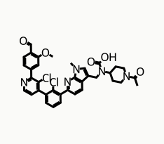 COc1cc(-c2nccc(-c3cccc(-c4ccc5c(CN(C(=O)O)C6CCN(C(C)=O)CC6)cn(C)c5n4)c3Cl)c2Cl)ccc1C=O